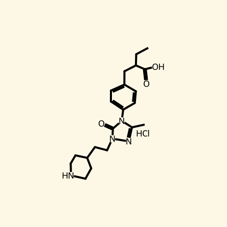 CCC(Cc1ccc(-n2c(C)nn(CCC3CCNCC3)c2=O)cc1)C(=O)O.Cl